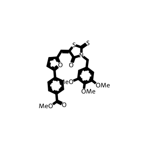 COC(=O)c1ccc(-c2ccc(C=C3SC(=S)N(Cc4cc(OC)c(OC)c(OC)c4)C3=O)o2)cc1